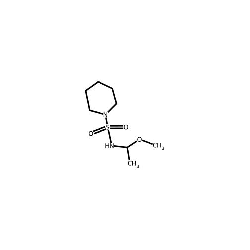 COC(C)NS(=O)(=O)N1CCCCC1